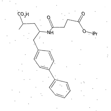 CC(C)OC(=O)CCC(=O)NC(Cc1ccc(-c2ccccc2)cc1)CC(C)C(=O)O